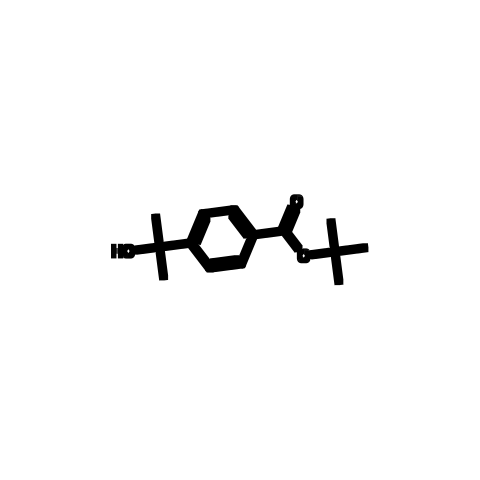 CC(C)(C)OC(=O)c1ccc(C(C)(C)O)cc1